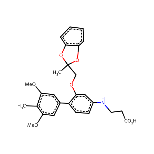 COc1cc(-c2ccc(NCCC(=O)O)cc2OCC2(C)Oc3ccccc3O2)cc(OC)c1C